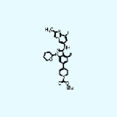 Cc1cn2cc(Nc3nn(C4CCCCO4)c4cc(C5=CCN(C(=O)OC(C)(C)C)CC5)cc(F)c34)cc(F)c2n1